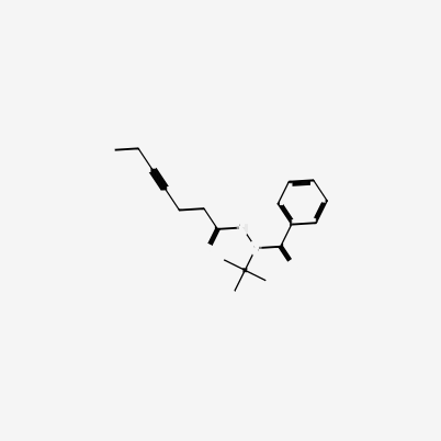 CCC#CCCC(=O)NN(C(=O)c1ccccc1)C(C)(C)C